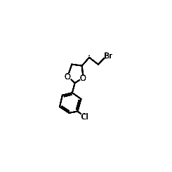 Clc1cccc(C2OCC([CH]CBr)O2)c1